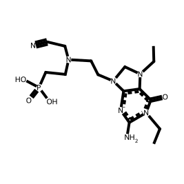 CCN1CN(CCN(CC#N)CCP(=O)(O)O)c2nc(N)n(CC)c(=O)c21